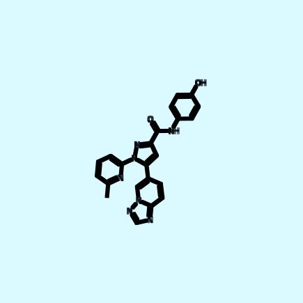 Cc1cccc(-n2nc(C(=O)Nc3ccc(O)cc3)cc2-c2ccc3ncnn3c2)n1